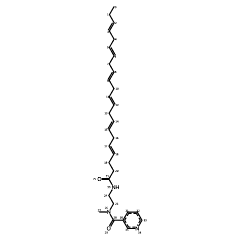 CCC=CCC=CCC=CCC=CCC=CCC=CCCC(=O)NCCN(C)C(=O)c1cccnc1